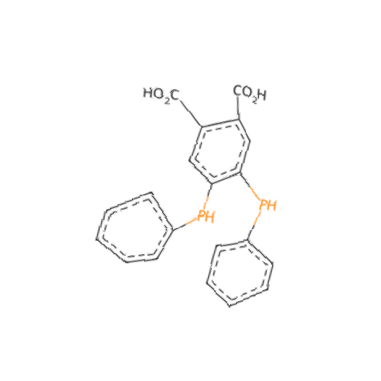 O=C(O)c1cc(Pc2ccccc2)c(Pc2ccccc2)cc1C(=O)O